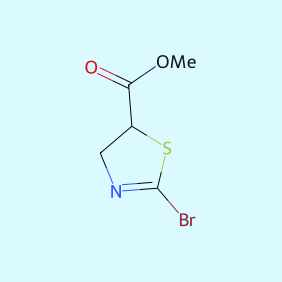 COC(=O)C1CN=C(Br)S1